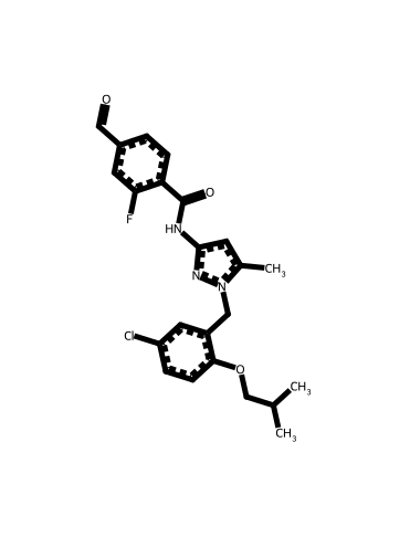 Cc1cc(NC(=O)c2ccc(C=O)cc2F)nn1Cc1cc(Cl)ccc1OCC(C)C